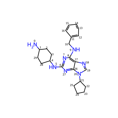 NC1CCC(Nc2nc(NCc3ccccc3)c3ncn(C4CCCC4)c3n2)CC1